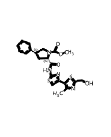 COC(=O)N1C[C@H](c2ccccc2)C[C@H]1C(=O)Nc1nc(-c2sc(CO)nc2C)cs1